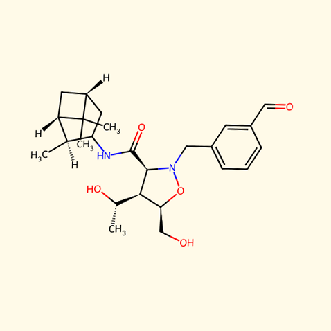 C[C@H](O)[C@@H]1[C@H](CO)ON(Cc2cccc(C=O)c2)[C@@H]1C(=O)NC1C[C@H]2C[C@@H]([C@@H]1C)C2(C)C